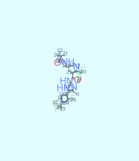 Cc1nc(NC(=O)C2=C(C(F)F)N=CC(CNC(=O)C(C)(C)C)C2)[nH]c1-c1ccc(C(F)(F)F)cc1F